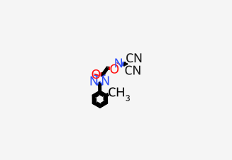 Cc1ccccc1-c1noc(CON=C(C#N)C#N)n1